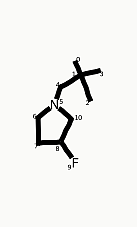 CC(C)(C)CN1CCC(F)C1